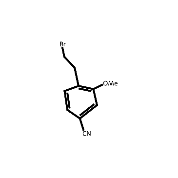 COc1cc(C#N)ccc1CCBr